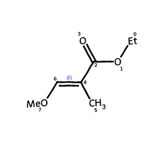 CCOC(=O)/C(C)=C/OC